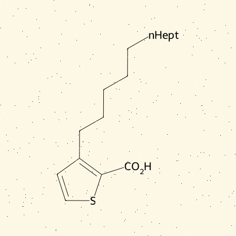 CCCCCCCCCCCCc1ccsc1C(=O)O